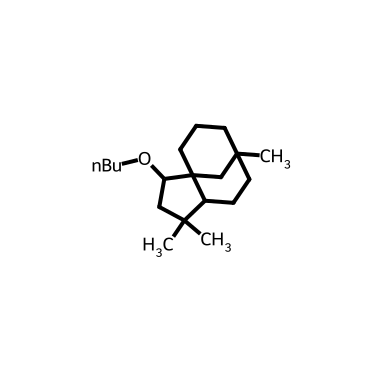 CCCCOC1CC(C)(C)C2CCC3(C)CCCC12C3